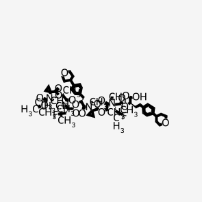 C[C@@H](OC(=O)C1(N(C)C(=O)OC(C)(C)C)CC1)C(=O)N(C)[C@@H](CC(C)(C)F)C(=O)O[C@H](Cc1ccc(C2CCOCC2)cc1)C(=O)N(C)C1(C(=O)O[C@H](C)C(=O)N(C)[C@@H](CC(C)(C)F)C(=O)O[C@H](CCc2ccc(C3CCOCC3)cc2)C(=O)O)CC1